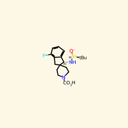 CC(C)(C)[S@+]([O-])N[C@H]1c2cccc(F)c2CC12CCN(C(=O)O)CC2